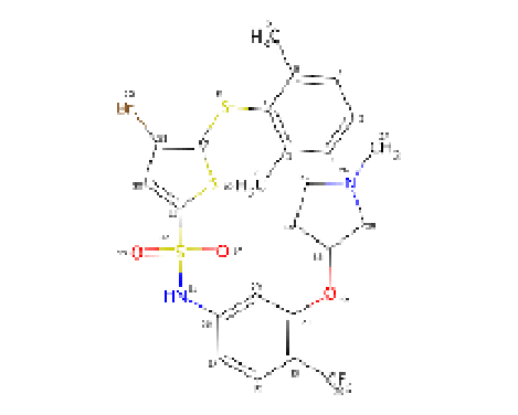 Cc1cccc(C)c1Sc1sc(S(=O)(=O)Nc2ccc(C(F)(F)F)c(OC3CCN(C)C3)c2)cc1Br